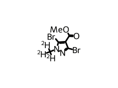 [2H]C([2H])([2H])n1nc(Br)c(C(=O)OC)c1Br